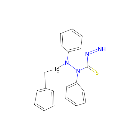 N=NC(=S)N(c1ccccc1)[N]([Hg][CH2]c1ccccc1)c1ccccc1